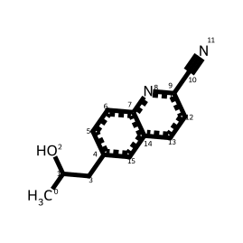 CC(O)Cc1ccc2nc(C#N)ccc2c1